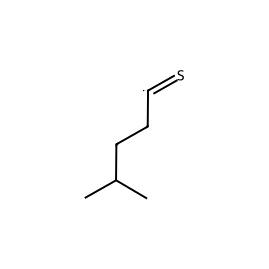 CC(C)CC[C]=S